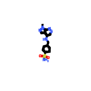 Cn1ncc2c(NCc3ccc(S(N)(=O)=O)cc3)cnnc21